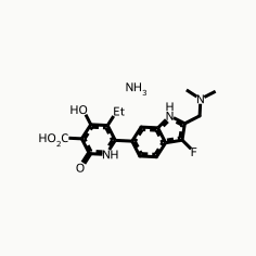 CCc1c(-c2ccc3c(F)c(CN(C)C)[nH]c3c2)[nH]c(=O)c(C(=O)O)c1O.N